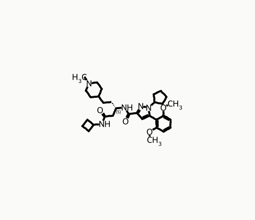 COc1cccc(OC)c1-c1cc(C(=O)N[C@@H](CCC2CCN(C)CC2)CC(=O)NC2CCC2)nn1C1CCCC1